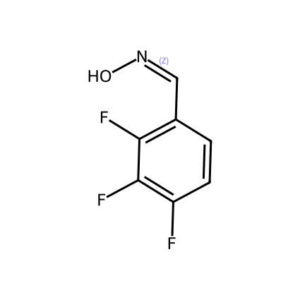 O/N=C\c1ccc(F)c(F)c1F